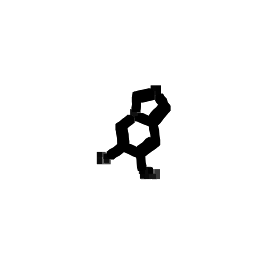 CCc1cn2cncc2cc1C(C)(C)C